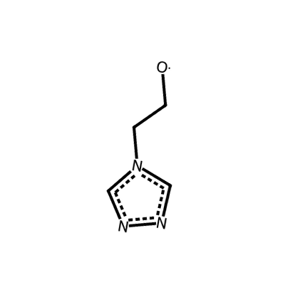 [O]CCn1cnnc1